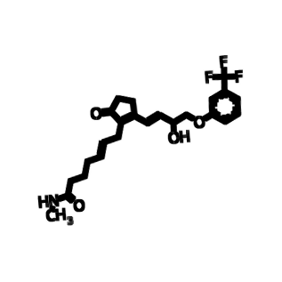 CNC(=O)CCCC=CCC1=C(C=CC(O)COc2cccc(C(F)(F)F)c2)CCC1=O